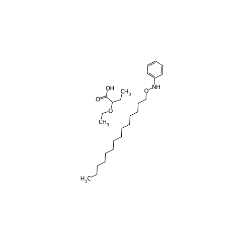 CCCCCCCCCCCCCCONc1ccccc1.CCOC(CC)C(=O)O